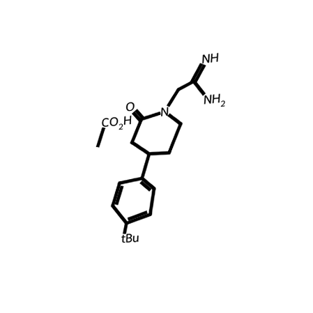 CC(=O)O.CC(C)(C)c1ccc(C2CCN(CC(=N)N)C(=O)C2)cc1